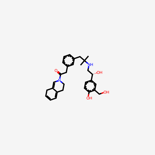 CC(C)(Cc1cccc(CC(=O)N2C=C3CC=CC=C3CC2)c1)NC[C@H](O)c1ccc(O)c(CO)c1